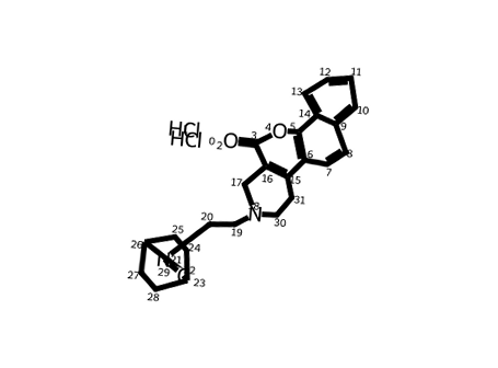 Cl.Cl.O=c1oc2c(ccc3ccccc32)c2c1CN(CCN1CC3CCC(CC3)C1)CC2